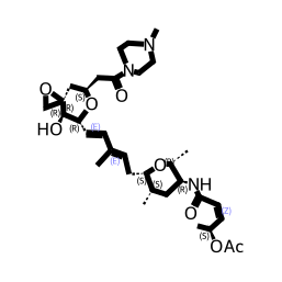 CC(=O)O[C@@H](C)/C=C\C(=O)N[C@@H]1C[C@H](C)[C@H](C/C=C(C)/C=C/[C@H]2O[C@H](CC(=O)N3CCN(C)CC3)C[C@@]3(CO3)[C@@H]2O)O[C@@H]1C